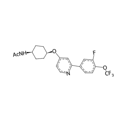 CC(=O)N[C@H]1CC[C@@H](Oc2ccnc(-c3ccc(OC(F)(F)F)c(F)c3)c2)CC1